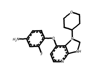 Nc1ccc(Oc2ccnc3c2N(C2CCOCC2)CN3)c(F)c1